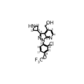 OCc1ccnc2c1c(C1CNC1)nn2-c1ccc(OC(F)(F)F)cc1Cl